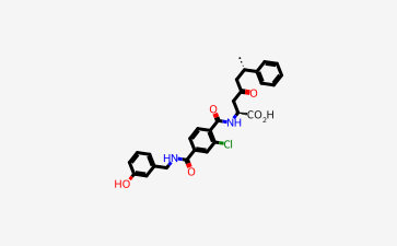 C[C@@H](CC(=O)C[C@H](NC(=O)c1ccc(C(=O)NCc2cccc(O)c2)cc1Cl)C(=O)O)c1ccccc1